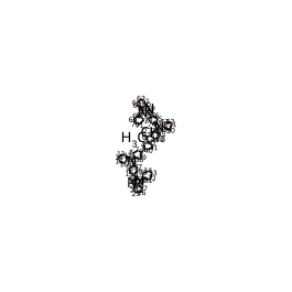 CC1(C)c2cc(-c3ccc(N(c4ccccc4)c4ccc(-c5nc6ccccc6n5-c5ccccc5)cc4)cc3)ccc2-c2ccc(N(c3ccccc3)c3ccc(-c4nc5ccccc5n4-c4ccccc4)cc3)cc21